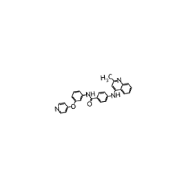 Cc1cc(Nc2ccc(C(=O)Nc3cccc(Oc4ccncc4)c3)cc2)c2ccccc2n1